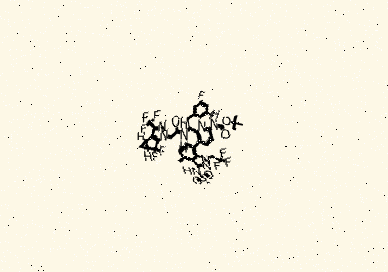 Cc1ccc(-c2ccc(NC(=O)OC(C)(C)C)nc2[C@H](Cc2cc(F)cc(F)c2)NC(O)Cn2nc(C(F)(F)F)c3c2C(F)(F)[C@@H]2C[C@H]32)c2c1c(NS(C)(=O)=O)nn2CC(F)(F)F